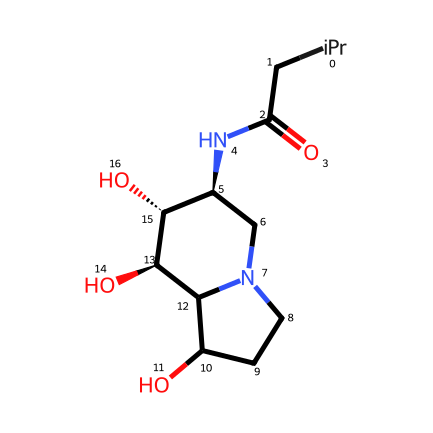 CC(C)CC(=O)N[C@H]1CN2CCC(O)C2[C@@H](O)[C@@H]1O